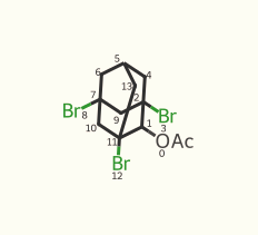 CC(=O)OC1C2(Br)CC3CC(Br)(C2)CC1(Br)C3